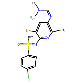 CCCS(=O)(=Nc1nc(C)c(/N=C\N(C)CC)cc1Br)c1ccc(Cl)cc1